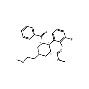 CNC(=O)[C@@H]1CN(CCOC)C[C@H](C(=O)c2ccccc2)[C@H]1c1cccc(F)c1C